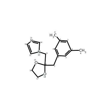 Cc1cc(C)cc(CC2(Cn3ccnc3)OCCO2)c1